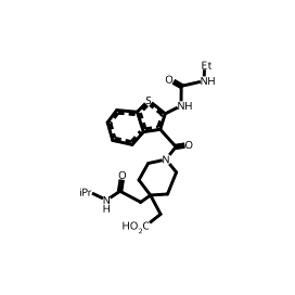 CCNC(=O)Nc1sc2ccccc2c1C(=O)N1CCC(CC(=O)O)(CC(=O)NC(C)C)CC1